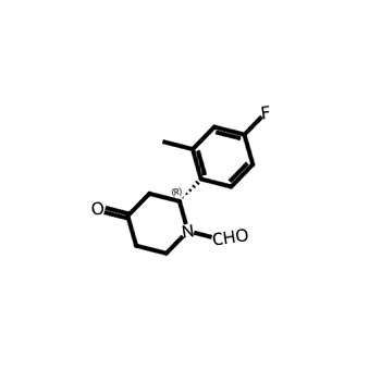 Cc1cc(F)ccc1[C@H]1CC(=O)CCN1C=O